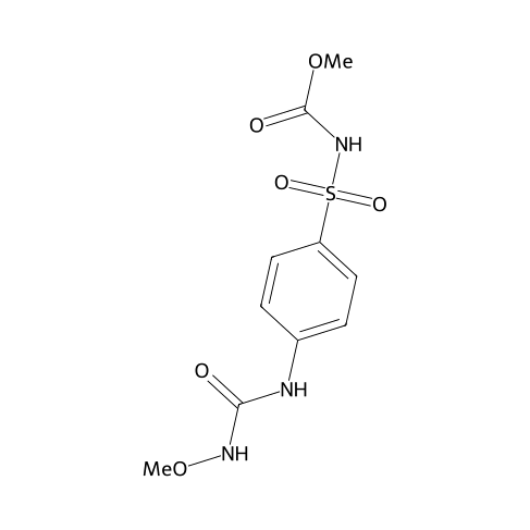 CONC(=O)Nc1ccc(S(=O)(=O)NC(=O)OC)cc1